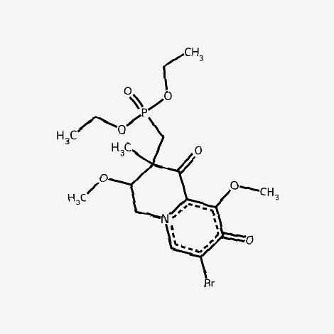 CCOP(=O)(CC1(C)C(=O)c2c(OC)c(=O)c(Br)cn2CC1OC)OCC